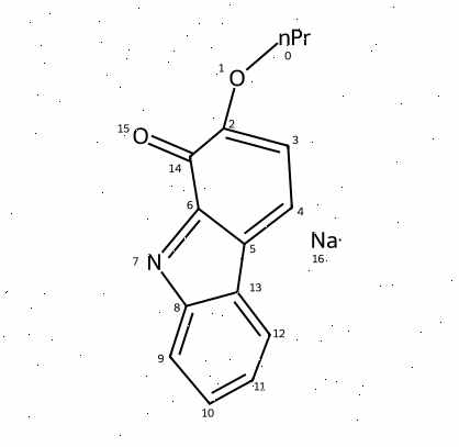 CCCOC1=CC=C2C(=Nc3ccccc32)C1=O.[Na]